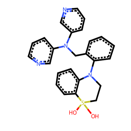 OS1(O)CCN(c2ccccc2CN(c2cccnc2)c2cccnc2)c2ccccc21